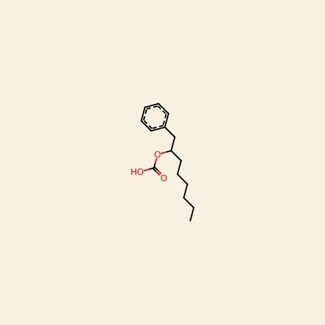 CCCCCCC(Cc1ccccc1)OC(=O)O